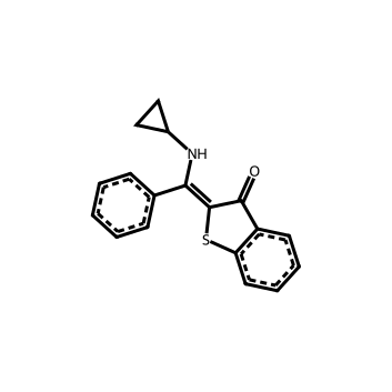 O=C1C(=C(NC2CC2)c2ccccc2)Sc2ccccc21